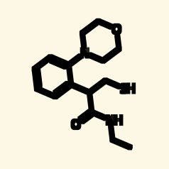 CCNC(=O)C(CS)c1ccccc1N1CCOCC1